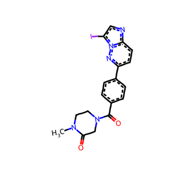 CN1CCN(C(=O)c2ccc(-c3ccc4ncc(I)n4n3)cc2)CC1=O